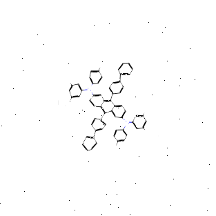 Cc1ccc(N(c2cc(C)cc(C)c2)c2ccc3c(-c4ccc(-c5ccccc5)cc4)c4cc(N(c5ccc(C)cc5)c5cc(C)cc(C)c5)ccc4c(-c4ccc(-c5ccccc5)cc4)c3c2)cc1